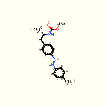 CC(C)(C)OC(=O)N[C@@H](Cc1ccc(N=Nc2ccc(C(=O)O)cc2)cc1)C(=O)O